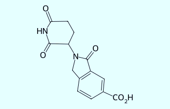 O=C1CCC(N2Cc3ccc(C(=O)O)cc3C2=O)C(=O)N1